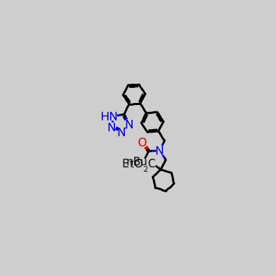 CCCCC(=O)N(Cc1ccc(-c2ccccc2-c2nnn[nH]2)cc1)CC1(C(=O)OCC)CCCCC1